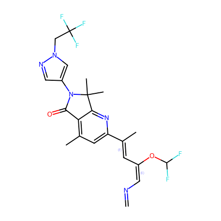 C=N/C=C(\C=C(/C)c1cc(C)c2c(n1)C(C)(C)N(c1cnn(CC(F)(F)F)c1)C2=O)OC(F)F